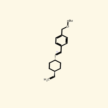 C=C[C@H]1CC[C@H](/C=C/c2ccc(COCCCC)cc2)CC1